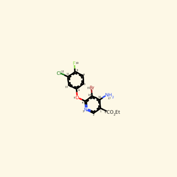 CCOC(=O)c1cnc(Oc2ccc(F)c(Cl)c2)c(Br)c1N